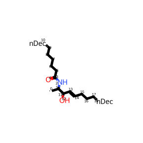 [CH2]C(NC(=O)CCCCCCCCCCCCCCC)C(O)/C=C/CCCCCCCCCCCCC